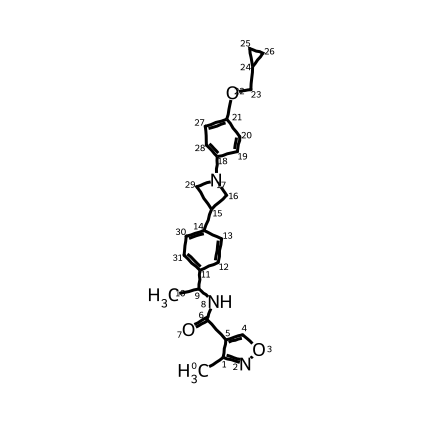 Cc1nocc1C(=O)NC(C)c1ccc(C2CN(c3ccc(OCC4CC4)cc3)C2)cc1